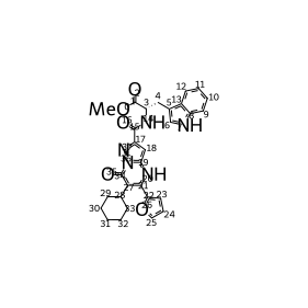 COC(=O)[C@H](Cc1c[nH]c2ccccc12)NC(=O)c1cc2[nH]c(-c3ccco3)c(C3CCCCC3)c(=O)n2n1